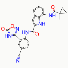 CC1(C(=O)Nc2cccc3cc(C(=O)Nc4ccc(C#N)cc4-c4noc(=O)[nH]4)[nH]c23)CC1